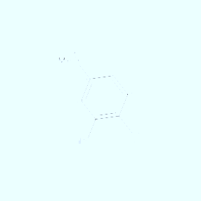 [CH2]CCc1cc(OC)ccc1C(C)C